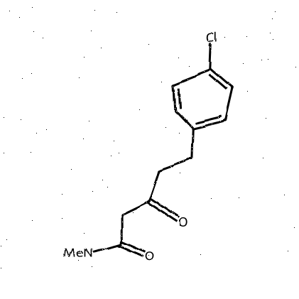 CNC(=O)CC(=O)CCc1ccc(Cl)cc1